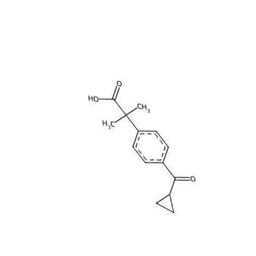 CC(C)(C(=O)O)c1ccc(C(=O)C2CC2)cc1